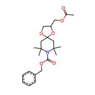 CC(=O)OCC1COC2(CC(C)(C)N(C(=O)OCc3ccccc3)C(C)(C)C2)O1